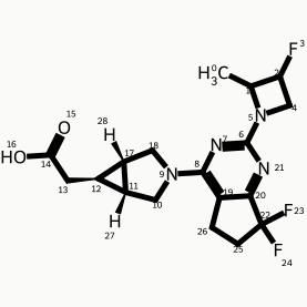 CC1C(F)CN1c1nc(N2C[C@@H]3[C@@H](CC(=O)O)[C@@H]3C2)c2c(n1)C(F)(F)CC2